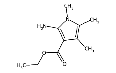 CCOC(=O)c1c(C)c(C)n(C)c1N